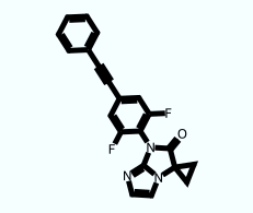 O=C1N(c2c(F)cc(C#Cc3ccccc3)cc2F)c2nccn2C12CC2